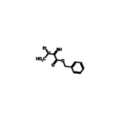 CC[C@@H](C(=N)C(=O)OCc1ccccc1)C(=O)O